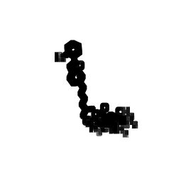 CCc1ccccc1-c1cc2ccc(CCCCC(CO)COC(=O)C(C)(CC(C)(C)N)C(C)(C)N)cc2o1